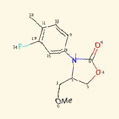 COCC1COC(=O)N1c1ccc(C)c(F)c1